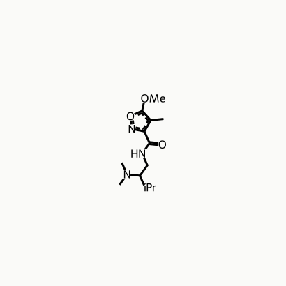 COc1onc(C(=O)NCC(C(C)C)N(C)C)c1C